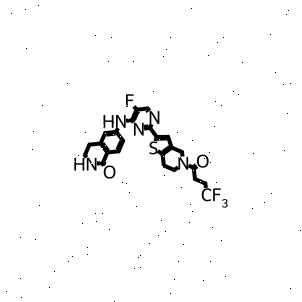 O=C1NCCc2cc(Nc3nc(-c4cc5c(s4)CCN(C(=O)CCC(F)(F)F)C5)ncc3F)ccc21